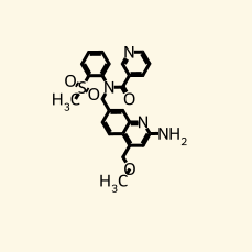 COCc1cc(N)nc2cc(CN(C(=O)c3cccnc3)c3ccccc3S(C)(=O)=O)ccc12